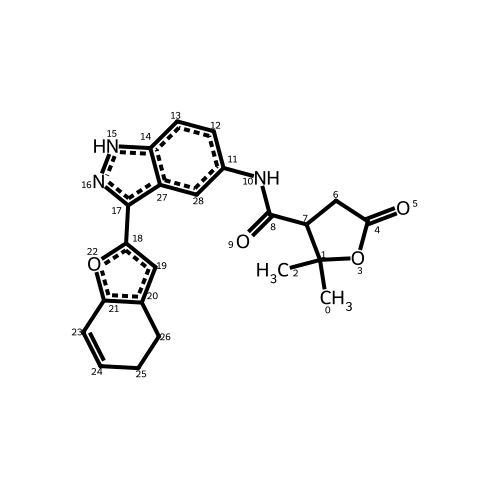 CC1(C)OC(=O)CC1C(=O)Nc1ccc2[nH]nc(-c3cc4c(o3)C=CCC4)c2c1